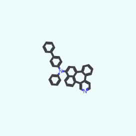 c1ccc(-c2ccc(N(c3ccccc3)c3ccc4c5c(cccc35)-c3cnccc3-c3ccccc3-4)cc2)cc1